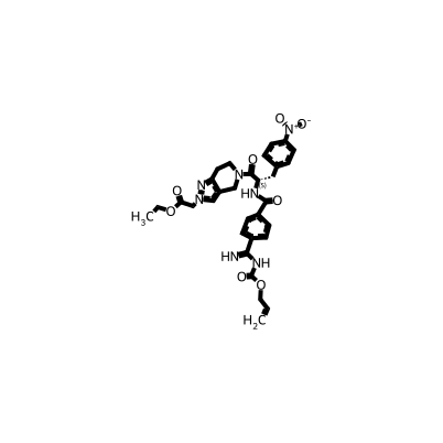 C=CCOC(=O)NC(=N)c1ccc(C(=O)N[C@@H](Cc2ccc([N+](=O)[O-])cc2)C(=O)N2CCc3nn(CC(=O)OCC)cc3C2)cc1